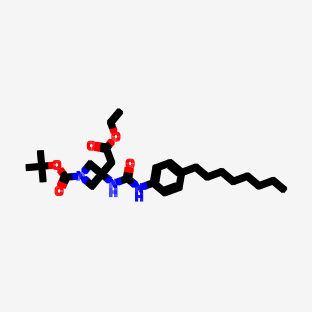 CCCCCCCCc1ccc(NC(=O)NC2(CC(=O)OCC)CN(C(=O)OC(C)(C)C)C2)cc1